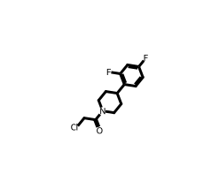 O=C(CCl)N1CCC(c2ccc(F)cc2F)CC1